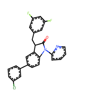 O=C1C(Cc2cc(F)cc(F)c2)c2cc(-c3cccc(Cl)c3)ccc2N1c1ccccn1